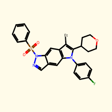 CCc1c(C2CCOCC2)n(-c2ccc(F)cc2)c2cc3cnn(S(=O)(=O)c4ccccc4)c3cc12